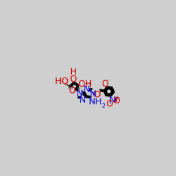 COc1ccc([N+](=O)[O-])cc1CON1C=Nc2c(ncn2[C@@H]2O[C@H](CO)C(O)C2O)C1N